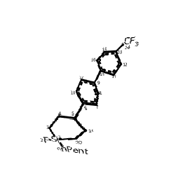 CCCCC[Si]1(F)CCC(c2ccc(-c3ccc(C(F)(F)F)cc3)cc2)CC1